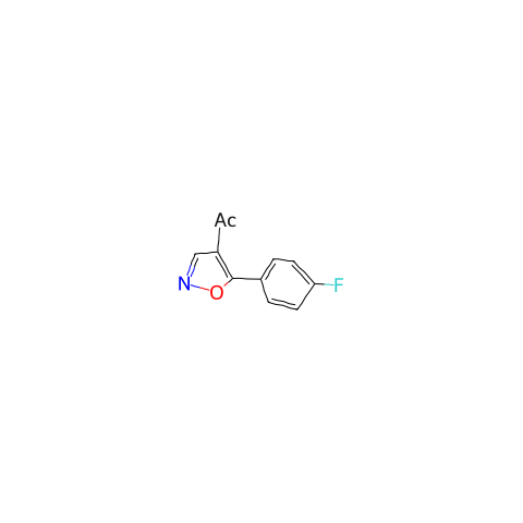 CC(=O)c1cnoc1-c1ccc(F)cc1